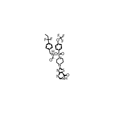 CCC(F)(F)c1ccc(CNC(=O)[C@H]2CN(c3nc4nc[nH]c(=O)c4s3)CCN2S(=O)(=O)c2ccc(OC(F)(F)F)cc2)cc1